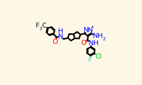 Cn1nc(C2CC3CC(CNC(=O)c4ccc(C(F)(F)F)cc4)CC3C2)c(C(=O)Nc2ccc(F)c(Cl)c2)c1N